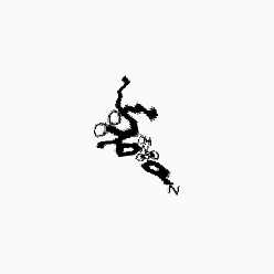 CCCCCC1(CCCCC)CC(O)=C(C(CC)c2cccc(NS(=O)(=O)c3ccc(C#N)cc3)c2)C(=O)O1